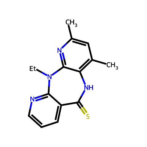 CCN1c2ncccc2C(=S)Nc2c(C)cc(C)nc21